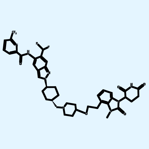 Cn1c(=O)n(C2CCC(=O)NC2=O)c2cccc(CCOC3CCN(C[C@H]4CC[C@H](n5cc6cc(NC(=O)c7cccc(C(F)(F)F)n7)c(C(F)F)cc6n5)CC4)CC3)c21